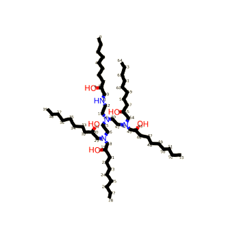 CCCCCCCCC(O)CNCCN(CCN(CC(O)CCCCCCCC)CC(O)CCCCCCCC)CCN(CC(O)CCCCCCCC)CC(O)CCCCCCCC